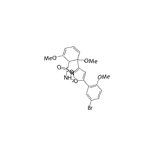 COC1=CC=CC(OC)(c2cc(-c3cc(Br)ccc3OC)on2)C1S(N)(=O)=O